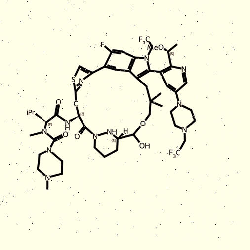 CO[C@@H](C)c1ncc(N2CCN(CC(F)(F)F)CC2)cc1-c1c2c3cc(c(F)cc3n1CC(F)(F)F)-c1csc(n1)C[C@H](NC(=O)[C@H](C(C)C)N(C)C(=O)N1CCN(C)CC1)C(=O)N1CCC[C@H](N1)C(O)OCC(C)(C)C2